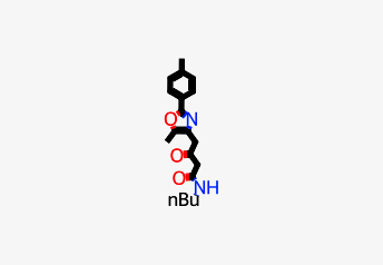 CCCCNC(=O)CC(=O)Cc1nc(-c2ccc(C)cc2)oc1C